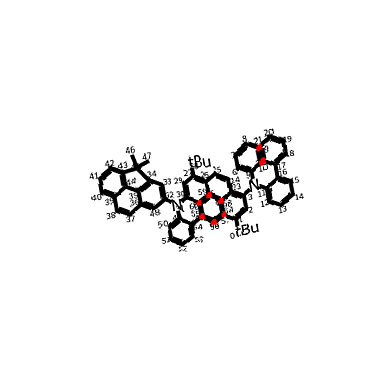 CC(C)(C)c1cc(N(c2ccccc2)c2ccccc2-c2ccccc2)c2ccc3c(C(C)(C)C)cc(N(c4cc5c6c(ccc7cccc(c76)C5(C)C)c4)c4ccccc4-c4ccccc4)c4ccc1c2c43